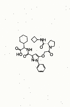 O=C(NC(C(=O)O)C1CCCCC1)c1cc(OCC(=O)N2CCC[C@H]2C(=O)NC2CCC2)n(-c2ccccc2)n1